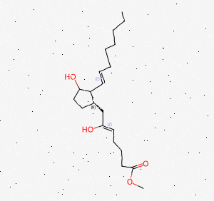 CCCCCC/C=C/C1C(O)CC[C@@H]1C/C(O)=C/CCCC(=O)OC